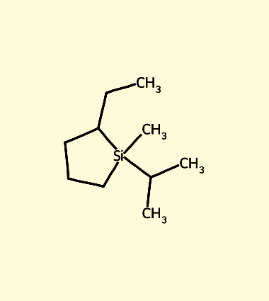 CCC1CCC[Si]1(C)C(C)C